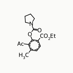 CCOC(=O)c1ccc(C)c(C(C)=O)c1OC(=O)N1CCCC1